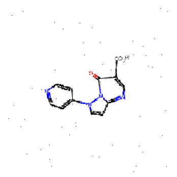 O=C(O)c1cnc2ccn(-c3ccncc3)n2c1=O